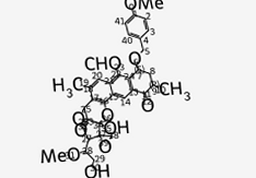 COc1ccc(CO[C@H]2C[C@@H](C)C(=O)c3cc4c5c(c(C)cc4c(C=O)c32)C2OC3(C(CO)OC)OC2C(O)(O5)C32CO2)cc1